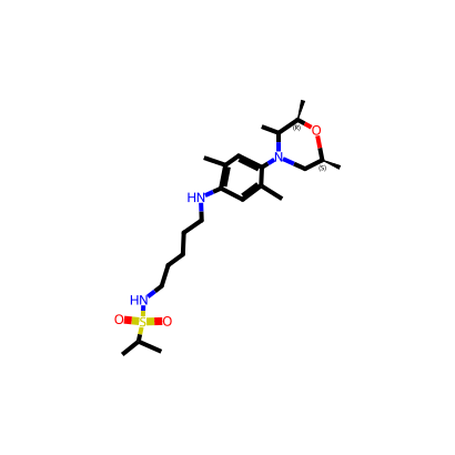 Cc1cc(N2C[C@H](C)O[C@H](C)C2C)c(C)cc1NCCCCCNS(=O)(=O)C(C)C